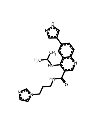 CC(C)Nc1c(C(=O)NCCCn2ccnc2)cnc2ccc(-c3cn[nH]c3)cc12